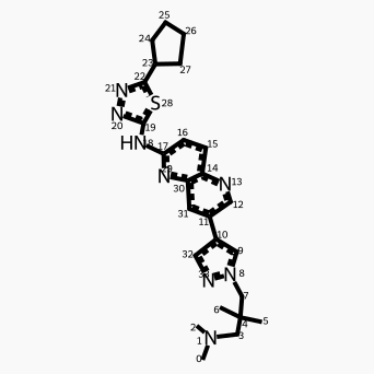 CN(C)CC(C)(C)Cn1cc(-c2cnc3ccc(Nc4nnc(C5CCCC5)s4)nc3c2)cn1